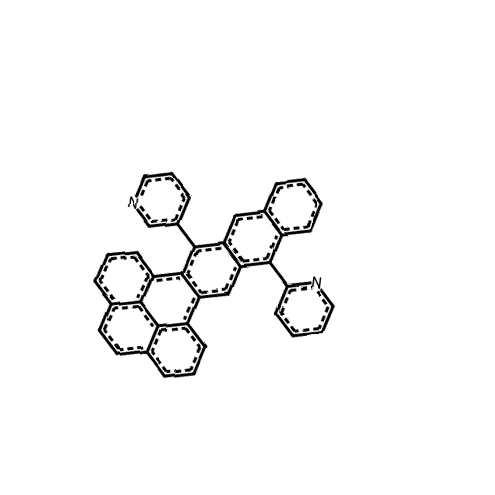 c1ccc(-c2c3ccccc3cc3c(-c4cccnc4)c4c(cc23)c2cccc3ccc5cccc4c5c32)nc1